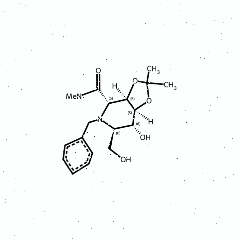 CNC(=O)[C@@H]1[C@H]2OC(C)(C)O[C@H]2[C@H](O)[C@@H](CO)N1Cc1ccccc1